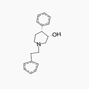 O[C@@H]1CN(CCc2ccccc2)CC[C@@H]1c1ccccc1